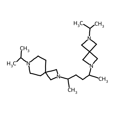 CC(C)N1CCC2(CC1)CN(C(C)CCC(C)N1CC3(CN(C(C)C)C3)C1)C2